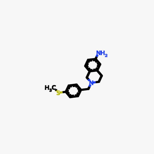 CSc1ccc(CN2CCc3cc(N)ccc3C2)cc1